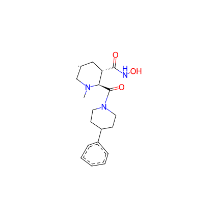 CN1C[CH]C[C@H](C(=O)NO)[C@H]1C(=O)N1CCC(c2ccccc2)CC1